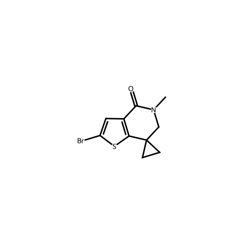 CN1CC2(CC2)c2sc(Br)cc2C1=O